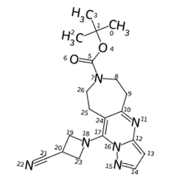 CC(C)(C)OC(=O)N1CCc2nc3ccnn3c(N3CC(C#N)C3)c2CC1